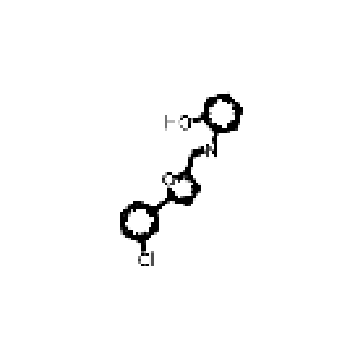 Oc1ccccc1/N=C/c1ccc(-c2cccc(Cl)c2)o1